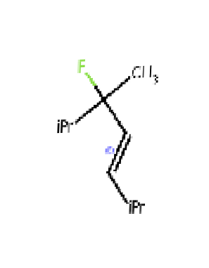 CC(C)/C=C/C(C)(F)C(C)C